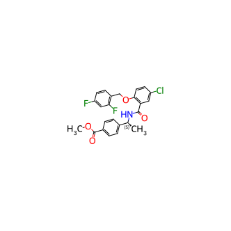 COC(=O)c1ccc([C@H](C)NC(=O)c2cc(Cl)ccc2OCc2ccc(F)cc2F)cc1